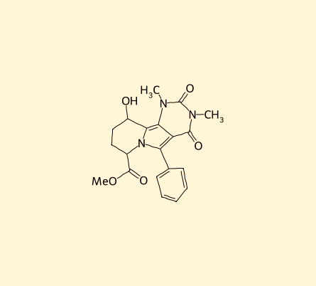 COC(=O)C1CCC(O)c2c3c(c(-c4ccccc4)n21)c(=O)n(C)c(=O)n3C